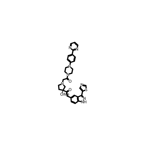 CO[C@@]1(C(=O)Cc2ccc3[nH]nc(-c4cncs4)c3c2)CCN(CC(=O)N2CCN(c3ccc(-c4ncccn4)cc3)CC2)C1